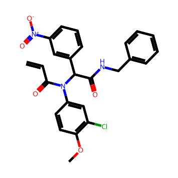 C=CC(=O)N(c1ccc(OC)c(Cl)c1)C(C(=O)NCc1ccccc1)c1cccc([N+](=O)[O-])c1